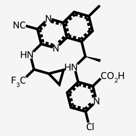 Cc1cc([C@@H](C)Nc2ccc(Cl)nc2C(=O)O)c2nc(NC(C3CC3)C(F)(F)F)c(C#N)nc2c1